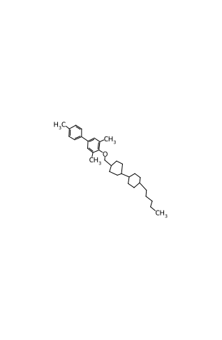 CCCCCC1CCC(C2CCC(COc3c(C)cc(-c4ccc(C)cc4)cc3C)CC2)CC1